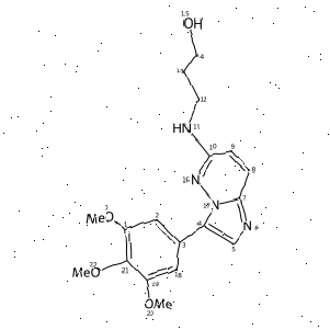 COc1cc(-c2cnc3ccc(NCCCO)nn23)cc(OC)c1OC